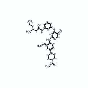 CCCC(C)CC(=O)Nc1cccc(Oc2nc(Nc3ccc(N4CCN(C(C)=O)CC4)cc3OC)ncc2Cl)c1